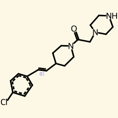 O=C(CN1CCNCC1)N1CCC(/C=C/c2ccc(Cl)cc2)CC1